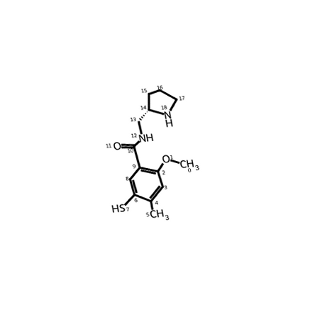 COc1cc(C)c(S)cc1C(=O)NC[C@@H]1CCCN1